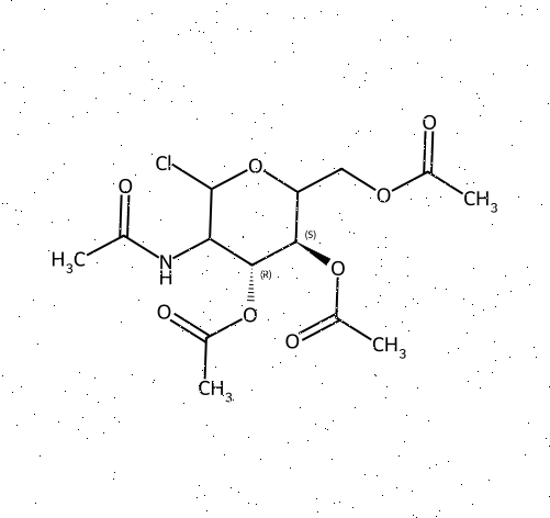 CC(=O)NC1C(Cl)OC(COC(C)=O)[C@@H](OC(C)=O)[C@@H]1OC(C)=O